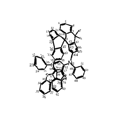 CC1(C)c2ccccc2C2(c3ccccc3-c3cc(N(c4ccccc4)c4cccc5c4sc4ccccc45)ccc32)c2cc(N(c3ccccc3)c3cccc4c3sc3ccccc34)ccc21